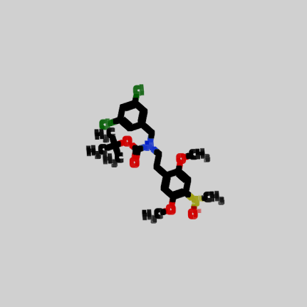 COc1cc([S+](C)[O-])c(OC)cc1CCN(Cc1cc(Cl)cc(Cl)c1)C(=O)OC(C)(C)C